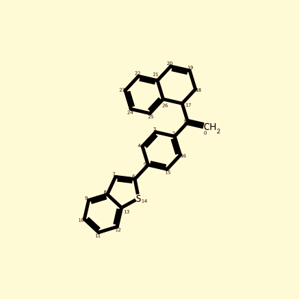 C=C(c1ccc(-c2cc3ccccc3s2)cc1)C1CC=Cc2ccccc21